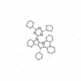 c1ccc(-c2nc(-c3ccccc3)nc(-n3c4ccccc4c4c(-c5ccccc5)c5c6ccccc6c6ccccc6n5c43)n2)cc1